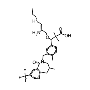 CCCN/C=C(\N)COC(c1ccc(C)c(CN2CC(C)Cc3ccc(C(F)(F)F)cc3[S+]2[O-])c1)C(C)(C)C(=O)O